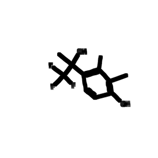 Cc1c(O)ccc(C(C)(O)C(F)(F)F)c1C